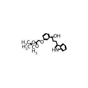 CC(C)(C)OC(=O)COc1cccc([C@H](O)CCc2c[nH]c3ccccc23)c1